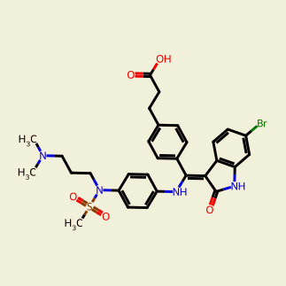 CN(C)CCCN(c1ccc(N/C(=C2\C(=O)Nc3cc(Br)ccc32)c2ccc(CCC(=O)O)cc2)cc1)S(C)(=O)=O